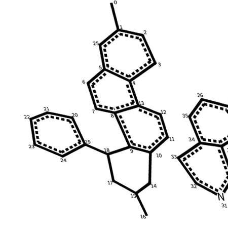 Cc1ccc2c(ccc3c4c(ccc32)CC(C)CC4c2ccccc2)c1.c1ccc2cnccc2c1